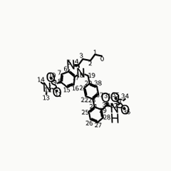 CCCCc1nc2cc(S(=O)(=O)N(C)C)ccc2n1Cc1ccc(-c2ccccc2C(=O)NS(C)(=O)=O)cc1